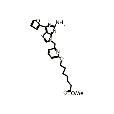 COC(=O)CCCCCCOc1cccc(Cn2cnc3c(-c4ccco4)nc(N)nc32)n1